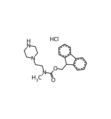 CN(CCN1CCNCC1)C(=O)OCC1c2ccccc2-c2ccccc21.Cl